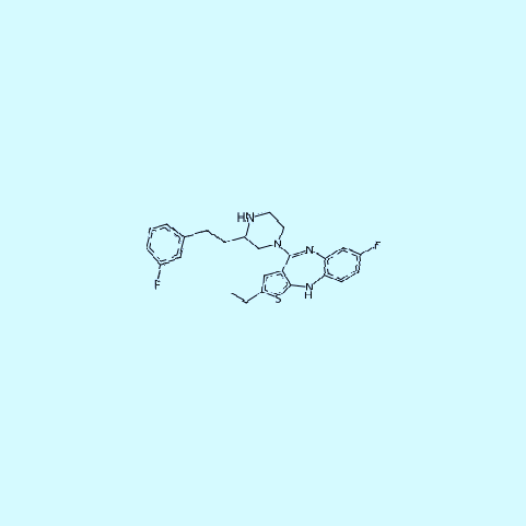 CCc1cc2c(s1)Nc1ccc(F)cc1N=C2N1CCNC(CCc2cccc(F)c2)C1